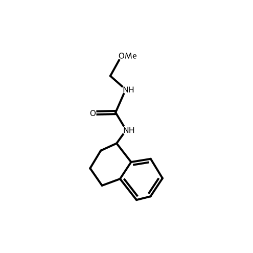 COCNC(=O)NC1CCCc2ccccc21